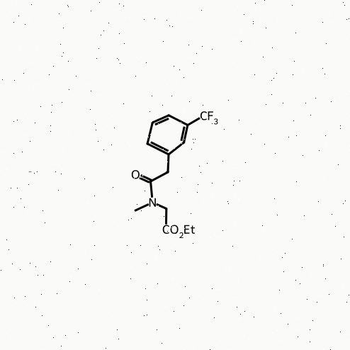 CCOC(=O)CN(C)C(=O)Cc1cccc(C(F)(F)F)c1